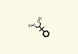 CCOCC(COCC)C(C)(C)c1ccccc1